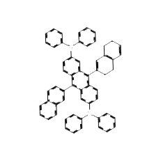 C1=CC2=C(C=C(c3c4cc(N(c5ccccc5)c5ccccc5)ccc4c(-c4ccc5ccccc5c4)c4cc(N(c5ccccc5)c5ccccc5)ccc34)CC2)CC1